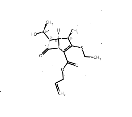 C=CCOC(=O)C1=C(SCC)[C@H](C)[C@@H]2[C@@H]([C@H](C)O)C(=O)N12